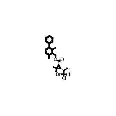 Cc1ccc(-c2ccccc2)c(C)c1COC(=O)[C@@H]1[C@H](C(Br)C(Cl)(Cl)Br)C1(C)C